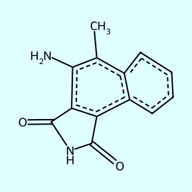 Cc1c(N)c2c(c3ccccc13)C(=O)NC2=O